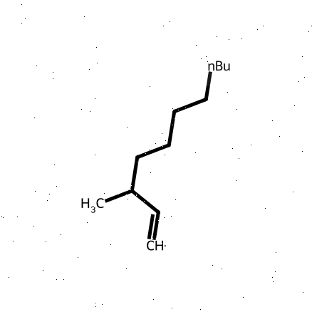 [CH]=CC(C)CCCCCCCC